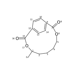 CC1CCCCOC(=O)c2ccc(cc2)C(=O)O1